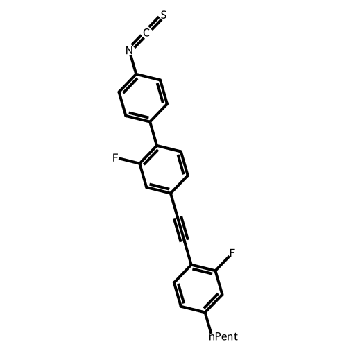 CCCCCc1ccc(C#Cc2ccc(-c3ccc(N=C=S)cc3)c(F)c2)c(F)c1